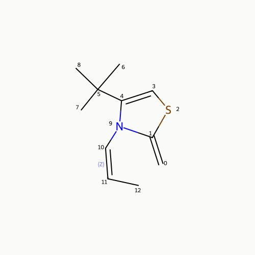 C=C1SC=C(C(C)(C)C)N1/C=C\C